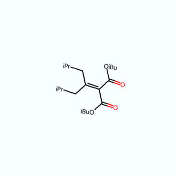 CC(C)COC(=O)C(C(=O)OCC(C)C)=C(CC(C)C)CC(C)C